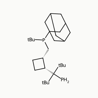 CC(C)(C)P(C[C@H]1CC[C@H]1C(P)(C(C)(C)C)C(C)(C)C)C12CC3CC(CC(C3)C1)C2